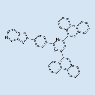 c1ccc2c(c1)cc(-c1cc(-c3cc4ccccc4c4ccccc34)nc(-c3ccc(-c4cn5ccncc5n4)cc3)n1)c1ccccc12